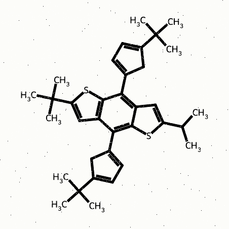 CC(C)c1cc2c(C3=CC=C(C(C)(C)C)C3)c3sc(C(C)(C)C)cc3c(C3=CC=C(C(C)(C)C)C3)c2s1